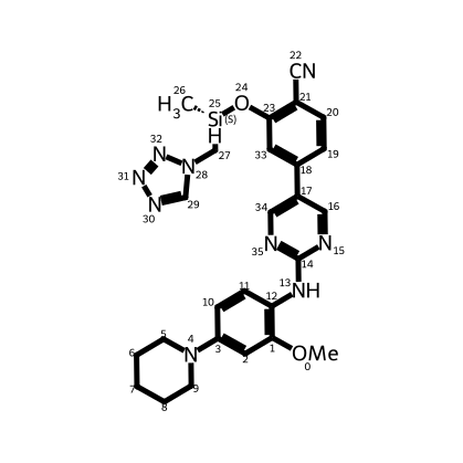 COc1cc(N2CCCCC2)ccc1Nc1ncc(-c2ccc(C#N)c(O[Si@@H](C)Cn3cnnn3)c2)cn1